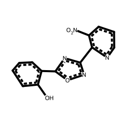 O=[N+]([O-])c1cccnc1-c1noc(-c2ccccc2O)n1